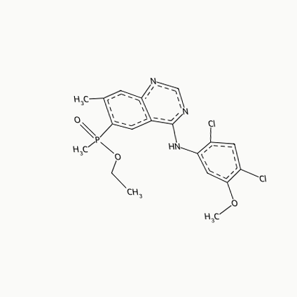 CCOP(C)(=O)c1cc2c(Nc3cc(OC)c(Cl)cc3Cl)ncnc2cc1C